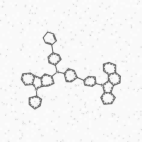 C1=CC(c2ccc(N(c3ccc(-c4ccc(-n5c6ccccc6c6ccc7ccccc7c65)cc4)cc3)c3ccc4c(c3)c3ccccc3n4-c3ccccc3)cc2)=CCC1